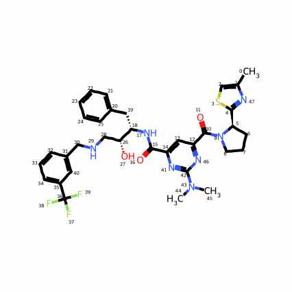 Cc1csc([C@H]2CCCN2C(=O)c2cc(C(=O)N[C@@H](Cc3ccccc3)[C@H](O)CNCc3cccc(C(F)(F)F)c3)nc(N(C)C)n2)n1